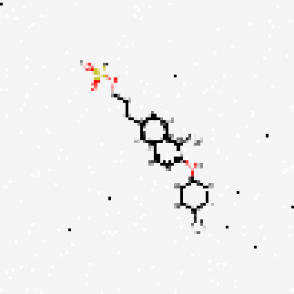 CS(=O)(=O)OCCCc1ccc2c(C(F)(F)F)c(OC3CCC(C(F)(F)F)CC3)ccc2c1